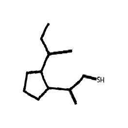 CCC(C)C1CCCC1C(C)CS